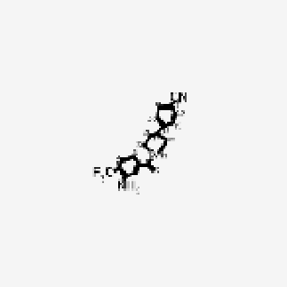 C=C(c1ccc(C(F)(F)F)c(N)c1)N1CCC(c2ccc(C#N)cc2)CC1